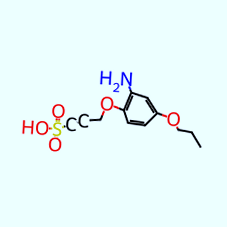 CCCOc1ccc(OCCCS(=O)(=O)O)c(N)c1